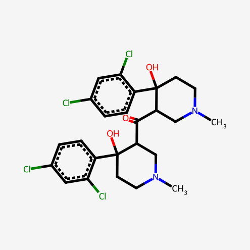 CN1CCC(O)(c2ccc(Cl)cc2Cl)C(C(=O)C2CN(C)CCC2(O)c2ccc(Cl)cc2Cl)C1